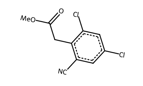 COC(=O)Cc1c(Cl)cc(Cl)cc1C#N